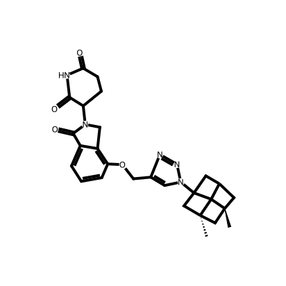 C[C@@]12CC3CC4(n5cc(COc6cccc7c6CN(C6CCC(=O)NC6=O)C7=O)nn5)C[C@](C)(C1)C342